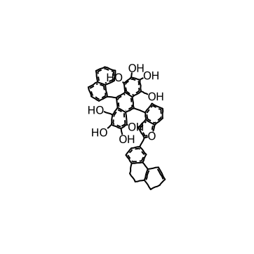 Oc1c(O)c(O)c2c(-c3cccc4oc(-c5ccc6c(c5)C5=C(CCC=C5)CC6)cc34)c3c(O)c(O)c(O)c(O)c3c(-c3cccc4ccccc34)c2c1O